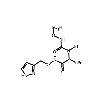 CCC[C@@H](C(=O)NOCc1cc[nH]n1)N(CC)C(=O)NOS(=O)(=O)O